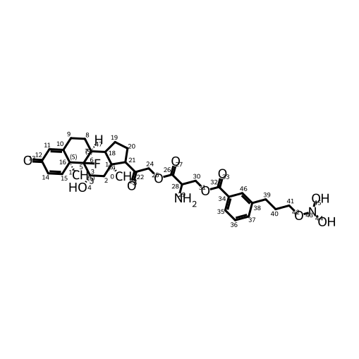 C[C@]12C[C@H](O)C3(F)[C@@H](CCC4=CC(=O)C=C[C@@]43C)C1CCC2C(=O)COC(=O)C(N)COC(=O)c1cccc(CCCON(O)O)c1